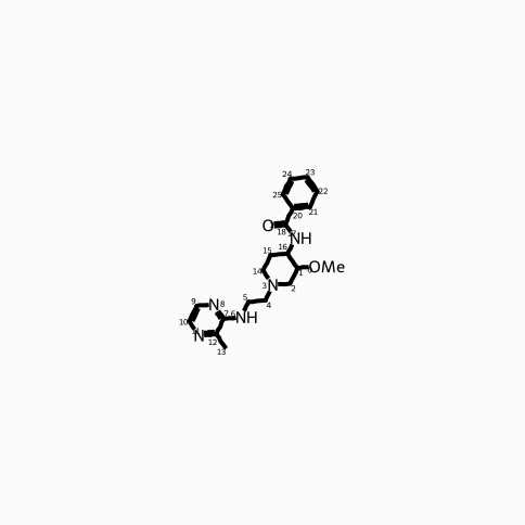 COC1CN(CCNc2nccnc2C)CCC1NC(=O)c1ccccc1